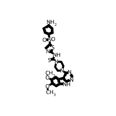 COc1cc2[nH]c3ncnc(N4CCN(C(=S)Nc5ncc(S(=O)(=O)c6ccc(N)cc6)s5)CC4)c3c2cc1OC